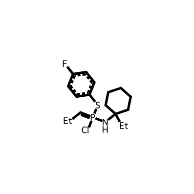 CCC=P(Cl)(NC1(CC)CCCCC1)Sc1ccc(F)cc1